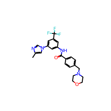 Cc1cn(-c2cc(NC(=O)c3ccc(CN4CCOCC4)cc3)cc(C(F)(F)F)c2)cn1